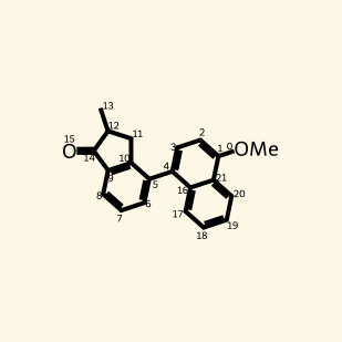 COc1ccc(-c2cccc3c2CC(C)C3=O)c2ccccc12